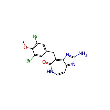 COc1c(Br)cc(Cc2c3nc(N)nc-3cc[nH]c2=O)cc1Br